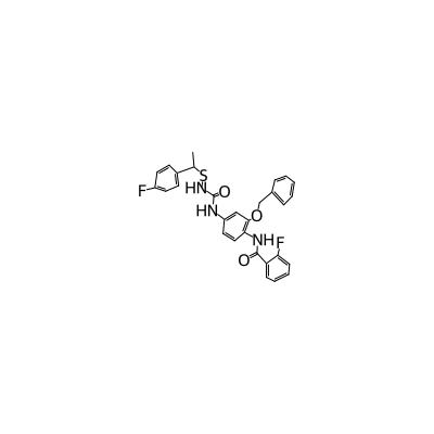 CC(SNC(=O)Nc1ccc(NC(=O)c2ccccc2F)c(OCc2ccccc2)c1)c1ccc(F)cc1